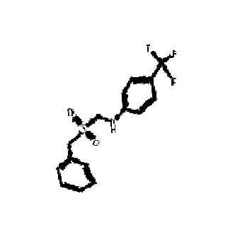 O=S(=O)(CNc1ccc(C(F)(F)F)cc1)Cc1ccccc1